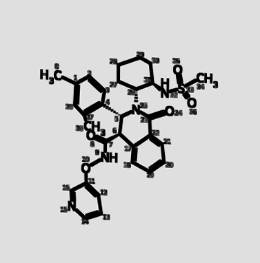 Cc1ccc([C@H]2[C@H](C(=O)NOc3cccnc3)c3ccccc3C(=O)N2[C@@H]2CCCC[C@H]2NS(C)(=O)=O)c(C)c1